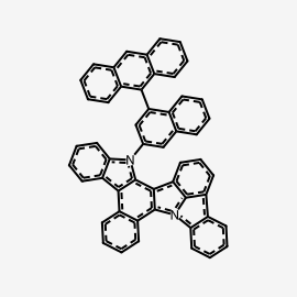 c1ccc2c(-c3c4ccccc4cc4ccccc34)cc(-n3c4ccccc4c4c5ccccc5c5c(c6cccc7c8ccccc8n5c76)c43)cc2c1